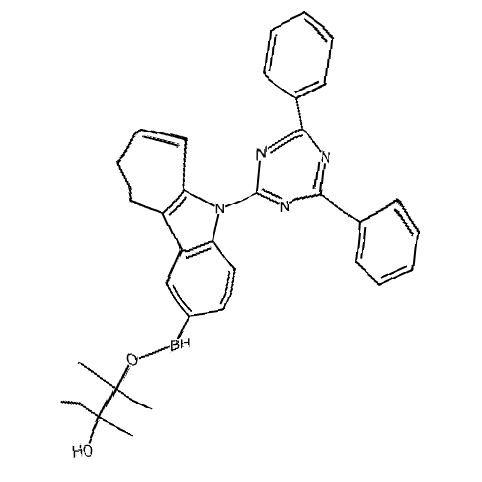 CC(C)(O)C(C)(C)OBc1ccc2c(c1)c1c(n2-c2nc(-c3ccccc3)nc(-c3ccccc3)n2)C=CCC1